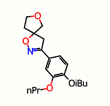 CCCOc1cc(C2=NOC3(CCOC3)C2)ccc1OCC(C)C